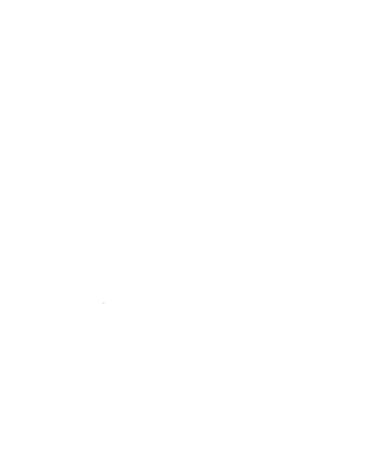 CCC(C)CC(C=C(C)C(O)C(C)C=CC(O)C(C)C=CC(O)C(C)C=C(C)C(O)C(C)C(=O)O)CO